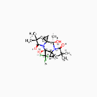 CC(C)(C)C(=O)N1C2(CC2)[C@@](C)(O)N(C(=O)C(C)(C)C)C2(CC2)[C@]1(O)C(F)(F)F